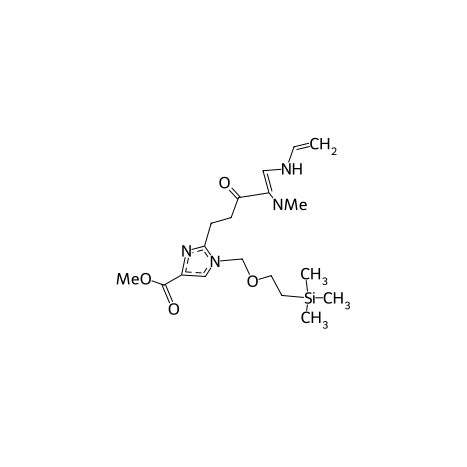 C=CN/C=C(\NC)C(=O)CCc1nc(C(=O)OC)cn1COCC[Si](C)(C)C